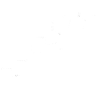 COC(COc1ccc2c(c1)C(=O)N(C1CCC(=O)NC1=O)C2=O)OC